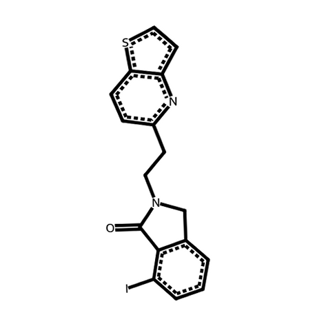 O=C1c2c(I)cccc2CN1CCc1ccc2sccc2n1